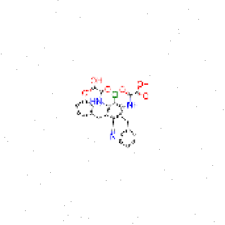 N#Cc1c(Cc2ccccc2)c(NC(=O)C(=O)O)c(Cl)c(NC(=O)C(=O)O)c1Cc1ccccc1